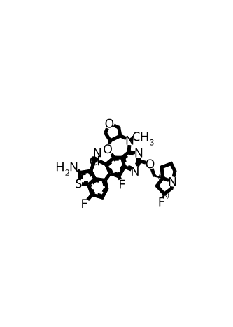 CN1c2nc(OC[C@@]34CCCN3C[C@H](F)C4)nc3c(F)c(-c4ccc(F)c5sc(N)c(C#N)c45)c(Cl)c(c23)OC2COCC21